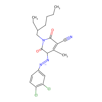 CCCCC(CC)CN1C(=O)C(C#N)=C(C)C(/N=N/c2ccc(Cl)c(Cl)c2)C1=O